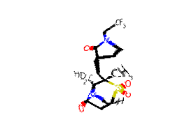 C[C@]1(/C=C2\CCN(CC(F)(F)F)C2=O)[C@H](C(=O)O)N2C(=O)C[C@H]2S1(=O)=O